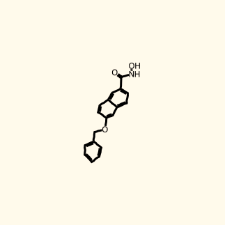 O=C(NO)c1ccc2cc(OCc3ccccc3)ccc2c1